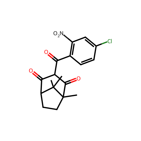 CC12CCC(C(=O)C(C(=O)c3ccc(Cl)cc3[N+](=O)[O-])C1=O)C2(C)C